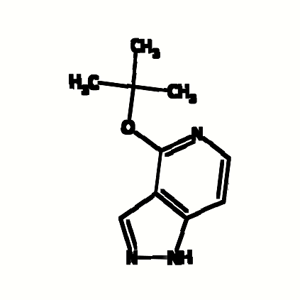 CC(C)(C)Oc1nccc2[nH]ncc12